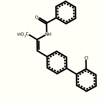 O=C(O)C(=Cc1ccc(-c2ccccc2Cl)cc1)NC(=O)c1ccccc1